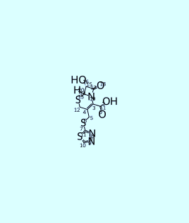 O=C(O)C1=C(CSc2nncs2)CS[C@@H]2[C@H](O)C(=O)N12